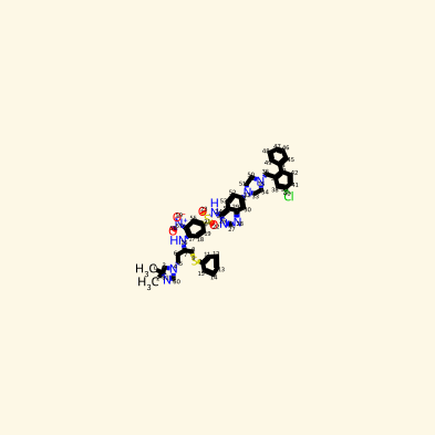 CC1(C)CN(CCC(CSc2ccccc2)Nc2ccc(S(=O)(=O)Nc3ncnc4cc(N5CCN(Cc6cc(Cl)ccc6-c6ccccc6)CC5)ccc34)cc2[N+](=O)[O-])C=N1